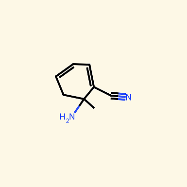 CC1(N)CC=CC=C1C#N